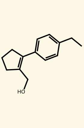 CCc1ccc(C2=C(CO)CCC2)cc1